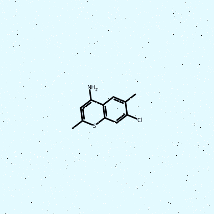 CC1=C=C(N)c2cc(C)c(Cl)cc2S1